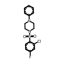 O=S(=O)(c1ccc(F)cc1Cl)N1CCN(c2ccccc2)CC1